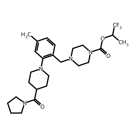 Cc1ccc(CN2CCN(C(=O)OC(C)C(F)(F)F)CC2)c(N2CCC(C(=O)N3CCCC3)CC2)c1